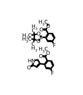 COC(=O)c1ccc(F)cc1B1OC(C)(C)C(C)(C)O1.COC(=O)c1ccc(F)cc1C1=CC(=O)NC1